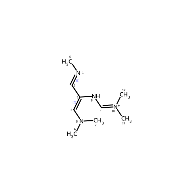 C/N=C/C(=C/N(C)C)NC=[N+](C)C